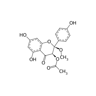 CO[C@]1(c2ccc(O)cc2)Oc2cc(O)cc(O)c2C(=O)[C@@H]1OC(C)=O